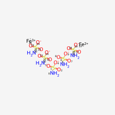 NS(=O)(=O)[O-].NS(=O)(=O)[O-].NS(=O)(=O)[O-].NS(=O)(=O)[O-].NS(=O)(=O)[O-].[Fe+2].[Fe+3]